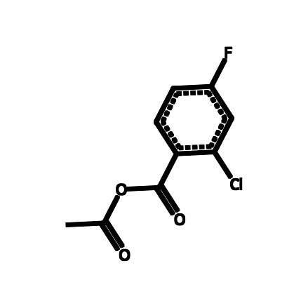 CC(=O)OC(=O)c1ccc(F)cc1Cl